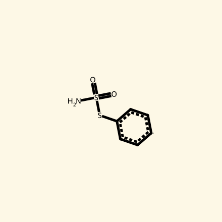 NS(=O)(=O)Sc1cc[c]cc1